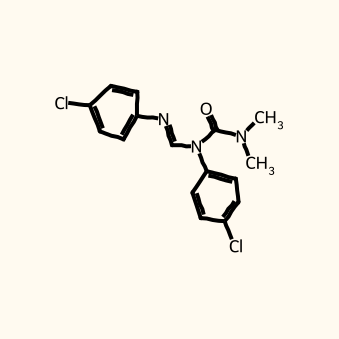 CN(C)C(=O)N(C=Nc1ccc(Cl)cc1)c1ccc(Cl)cc1